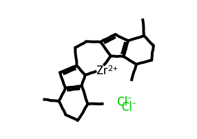 CC1CCC(C)C2=C1C=C1CCC3=CC4=C(C(C)CCC4C)[CH]3[Zr+2][CH]12.[Cl-].[Cl-]